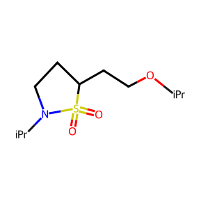 CC(C)OCCC1CCN(C(C)C)S1(=O)=O